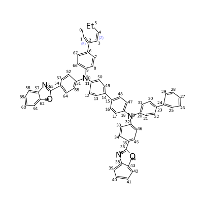 C/C=C(\C=C/CC)c1ccc(N(c2ccc(-c3ccc(N(c4ccc(-c5ccccc5)cc4)c4ccc(-c5nc6ccccc6o5)cc4)cc3)cc2)c2ccc(-c3nc4ccccc4o3)cc2)cc1